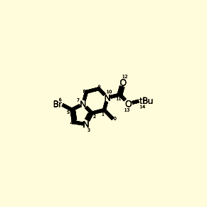 CC1c2ncc(Br)n2CCN1C(=O)OC(C)(C)C